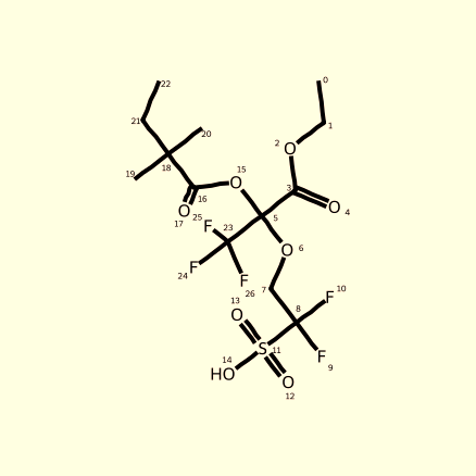 CCOC(=O)C(OCC(F)(F)S(=O)(=O)O)(OC(=O)C(C)(C)CC)C(F)(F)F